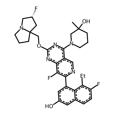 CCc1c(F)ccc2cc(O)cc(-c3ncc4c(N5CCCC(C)(O)C5)nc(OCC56CCCN5C[C@H](F)C6)nc4c3F)c12